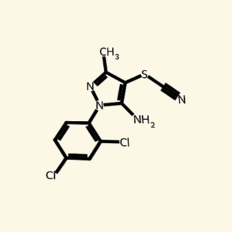 Cc1nn(-c2ccc(Cl)cc2Cl)c(N)c1SC#N